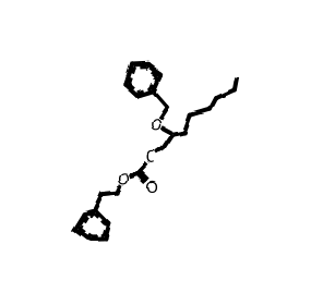 CCCCCCC(CCC(=O)OCCc1ccccc1)OCc1ccccc1